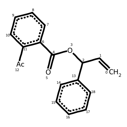 C=CC(OC(=O)c1ccccc1C(C)=O)c1ccccc1